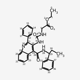 CCOC(=O)CNC(=O)Nc1c(-c2ccccc2)nc2ccccc2c1C(=O)NC(CC)c1ccccc1